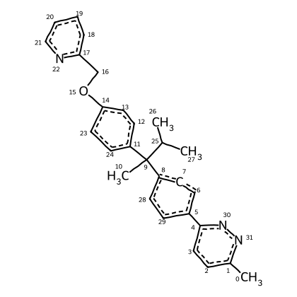 Cc1ccc(-c2ccc(C(C)(c3ccc(OCc4ccccn4)cc3)C(C)C)cc2)nn1